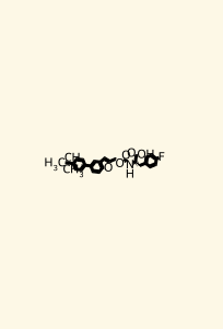 CC(C)(C)c1ccc(-c2ccc3oc(COC(=O)N[C@H](Cc4ccc(F)cc4)C(=O)O)cc3c2)cc1